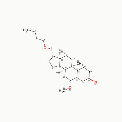 CCCCOC[C@H]1CCC2[C@@H]3C[C@@H](OC)C4C[C@H](O)CC[C@]4(C)C3CC[C@@]21C